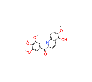 COc1cc(C(=O)c2ccc3c(O)c(OC)ccc3n2)cc(OC)c1OC